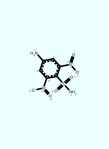 Nc1cc([N+](=O)[O-])c(S(N)(=O)=O)c([N+](=O)[O-])c1